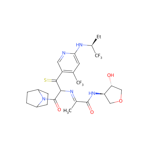 CC[C@H](Nc1cc(C(F)(F)F)c(C(=S)C(/N=C(\C)C(=O)N[C@@H]2COC[C@H]2O)C(=O)N2C3CCC2CC3)cn1)C(F)(F)F